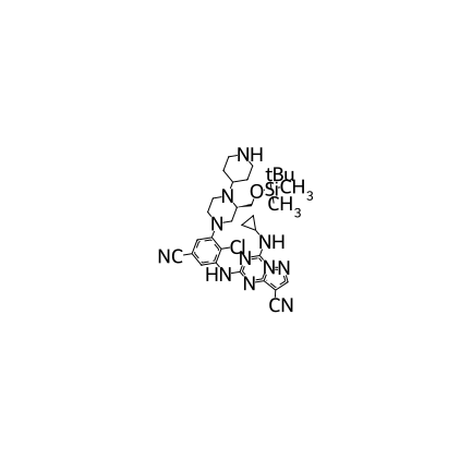 CC(C)(C)[Si](C)(C)OC[C@H]1CN(c2cc(C#N)cc(Nc3nc(NC4CC4)n4ncc(C#N)c4n3)c2Cl)CCN1C1CCNCC1